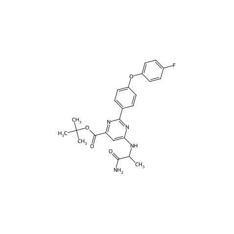 CC(Nc1cc(C(=O)OC(C)(C)C)nc(-c2ccc(Oc3ccc(F)cc3)cc2)n1)C(N)=O